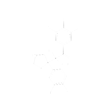 CCC(C(=O)c1cc(F)c(F)c(F)c1)(C1(c2ccc(Cl)c(Cl)c2)CCNC1)S(=O)(=O)O